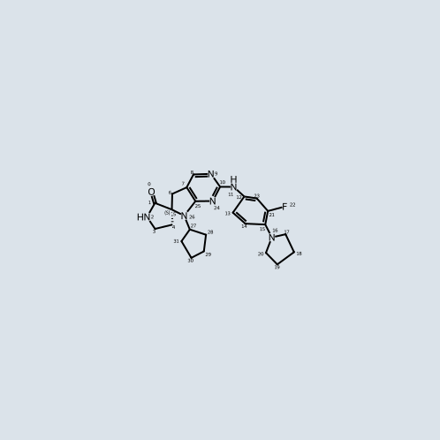 O=C1NCC[C@@]12Cc1cnc(Nc3ccc(N4CCCC4)c(F)c3)nc1N2C1CCCC1